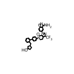 Nc1noc2ccc(-n3nc(C(F)(F)F)c4c3C(=O)N(c3ccc(-c5ccccc5CC5CC[C@@H](O)C5)cc3)CC4)cc12